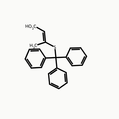 CC(=CC(=O)O)SC(c1ccccc1)(c1ccccc1)c1ccccc1